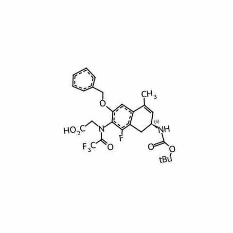 CC1=C[C@@H](NC(=O)OC(C)(C)C)Cc2c1cc(OCc1ccccc1)c(N(CC(=O)O)C(=O)C(F)(F)F)c2F